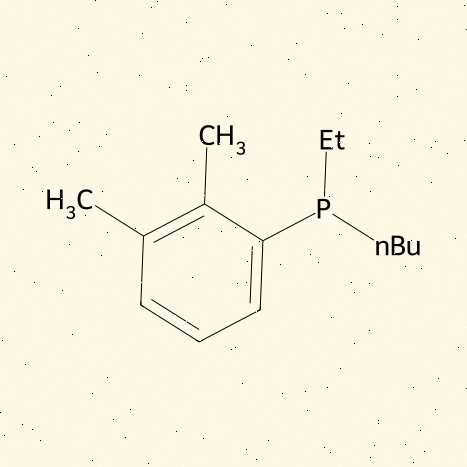 CCCCP(CC)c1cccc(C)c1C